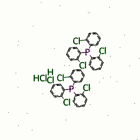 Cl.Cl.Clc1ccccc1P(c1ccccc1Cl)c1ccccc1Cl.Clc1ccccc1P(c1ccccc1Cl)c1ccccc1Cl